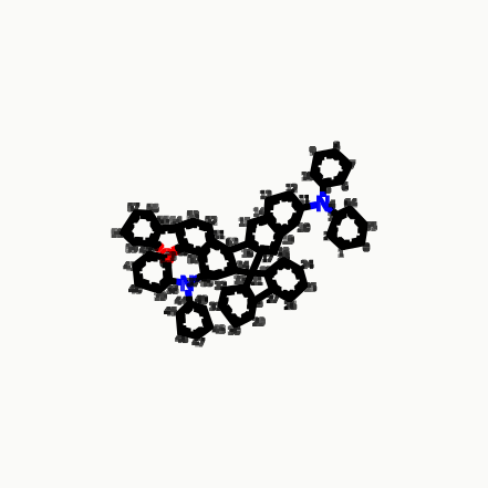 c1ccc(N(c2ccccc2)c2ccc3cc4c(cc3c2)C2(c3ccccc3-c3ccccc32)c2cc(N(c3ccccc3)c3ccccc3)c3c(ccc5c6ccccc6oc53)c2-4)cc1